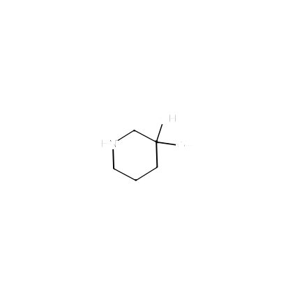 OC1(O)CCCNC1